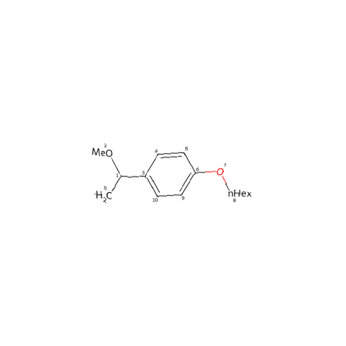 [CH2]C(OC)c1ccc(OCCCCCC)cc1